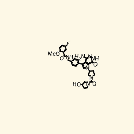 COc1ccc(F)cc1C(=O)NCc1ccc(-c2cn(C3CCN(C(=O)N4CC[C@@H](O)C4)C3)c3c(=O)[nH]nc(N)c23)cc1